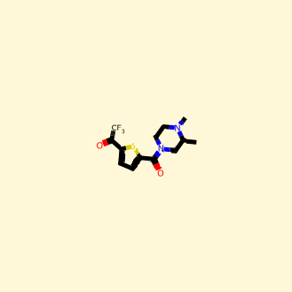 CC1CN(C(=O)c2ccc(C(=O)C(F)(F)F)s2)CCN1C